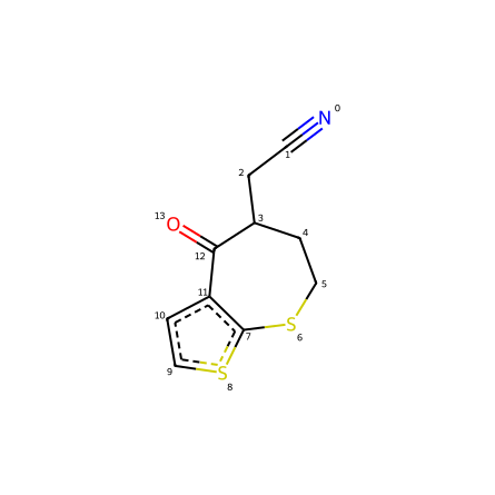 N#CCC1CCSc2sccc2C1=O